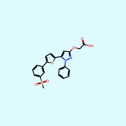 CS(=O)(=O)c1cccc(-c2ccc(-c3cc(OCC(=O)O)nn3-c3ccccc3)s2)c1